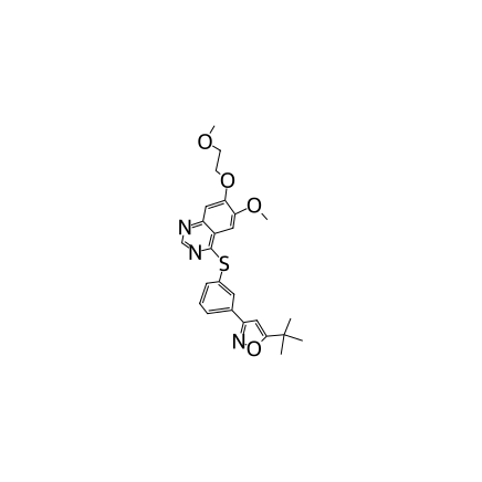 COCCOc1cc2ncnc(Sc3cccc(-c4cc(C(C)(C)C)on4)c3)c2cc1OC